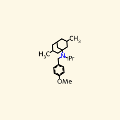 COc1ccc(CN(C(C)C)C23CC(C)CC(CC(C)C2)C3)cc1